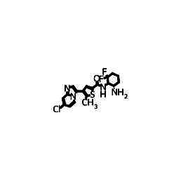 Cc1sc(C(=O)NC2[C@@H](N)CCCC2(F)F)cc1-c1cnc2cc(Cl)ccn12